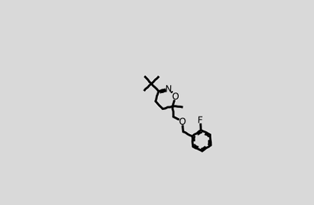 CC1(COCc2ccccc2F)CCC(C(C)(C)C)=NO1